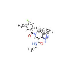 CCNC(=O)C1=CN(C(=O)c2ccc(F)c(C)c2)CC(C)(C)c2c(C)n[nH]c21